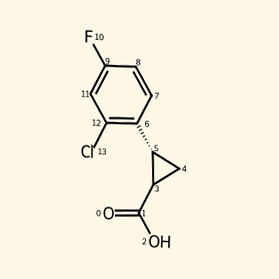 O=C(O)C1C[C@H]1c1ccc(F)cc1Cl